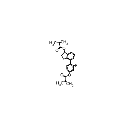 C=C(C)C(=O)Oc1ccc(-c2cccc3c2CCC3OC(=O)C(=C)C)c(F)c1